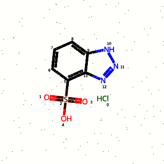 Cl.O=S(=O)(O)c1cccc2[nH]nnc12